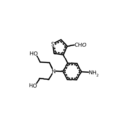 Nc1ccc(N(CCO)CCO)c(-c2cscc2C=O)c1